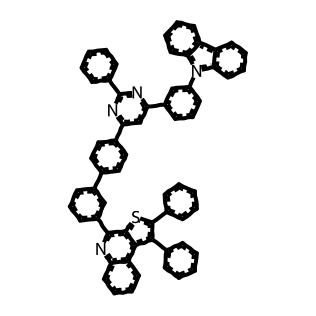 c1ccc(-c2nc(-c3ccc(-c4cccc(-c5nc6ccccc6c6c(-c7ccccc7)c(-c7ccccc7)sc56)c4)cc3)cc(-c3cccc(-n4c5ccccc5c5ccccc54)c3)n2)cc1